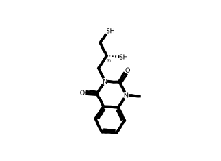 Cn1c(=O)n(C[C@@H](S)CS)c(=O)c2ccccc21